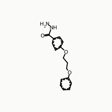 NNC(=O)c1ccc(OCCCOc2ccccc2)cc1